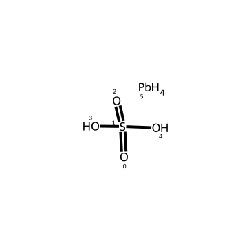 O=S(=O)(O)O.[PbH4]